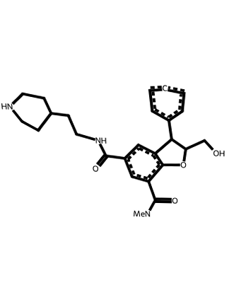 CNC(=O)c1cc(C(=O)NCCC2CCNCC2)cc2c1OC(CO)C2c1ccccc1